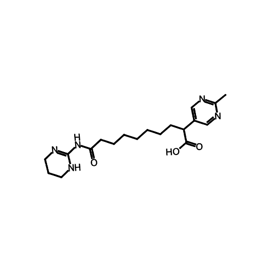 Cc1ncc(C(CCCCCCCC(=O)NC2=NCCCN2)C(=O)O)cn1